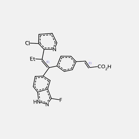 CC/C(=C(/c1ccc(/C=C/C(=O)O)cc1)c1ccc2[nH]nc(F)c2c1)c1ncccc1Cl